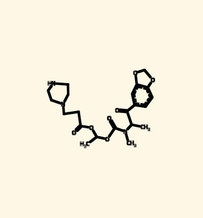 CC(OC(=O)CCN1CCNCC1)OC(=O)N(C)C(C)C(=O)c1ccc2c(c1)OCO2